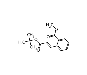 COC(=O)c1ccccc1C=CC(=O)OC(C)(C)C